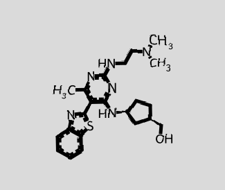 Cc1nc(NCCN(C)C)nc(N[C@H]2CC[C@@H](CO)C2)c1-c1nc2ccccc2s1